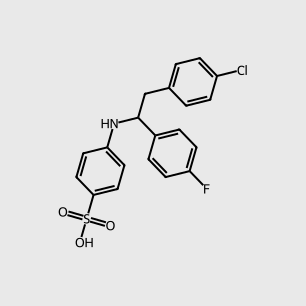 O=S(=O)(O)c1ccc(NC(Cc2ccc(Cl)cc2)c2ccc(F)cc2)cc1